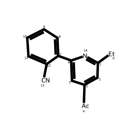 CCc1cc(C(C)=O)cc(-c2ccccc2C#N)n1